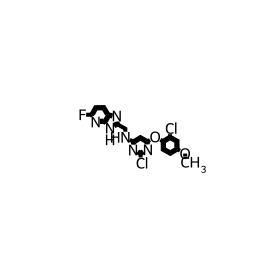 COc1ccc(Oc2cc(NCc3nc4ccc(F)nc4[nH]3)nc(Cl)n2)c(Cl)c1